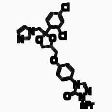 CCCn1ncn(-c2ccc(OCC3COC(Cn4ccnc4)(c4ccc(Cl)cc4Cl)O3)cc2)c1=O